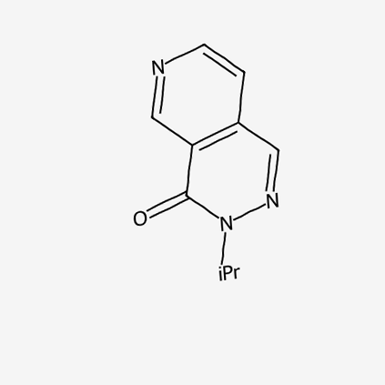 CC(C)n1ncc2ccncc2c1=O